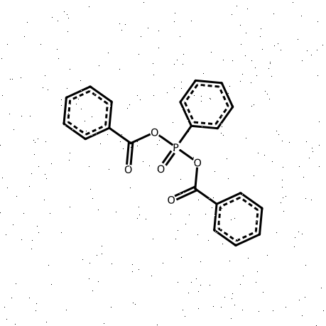 O=C(OP(=O)(OC(=O)c1ccccc1)c1ccccc1)c1ccccc1